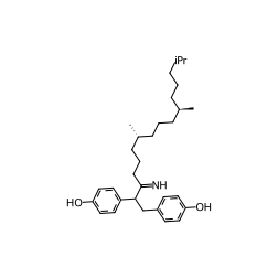 CC(C)CCC[C@@H](C)CCC[C@@H](C)CCCC(=N)C(Cc1ccc(O)cc1)c1ccc(O)cc1